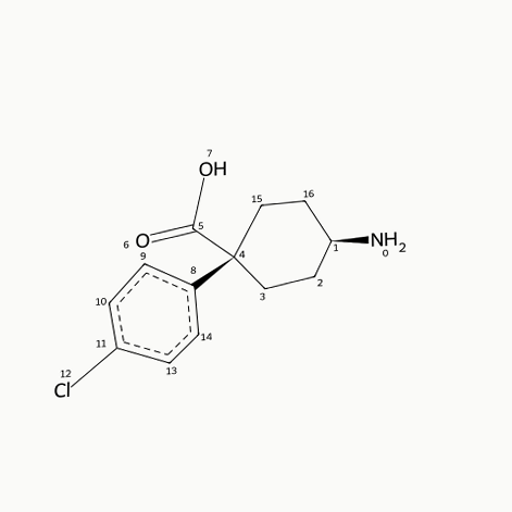 N[C@H]1CC[C@@](C(=O)O)(c2ccc(Cl)cc2)CC1